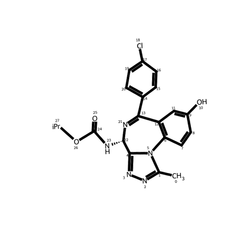 Cc1nnc2n1-c1ccc(O)cc1C(c1ccc(Cl)cc1)=N[C@H]2NC(=O)OC(C)C